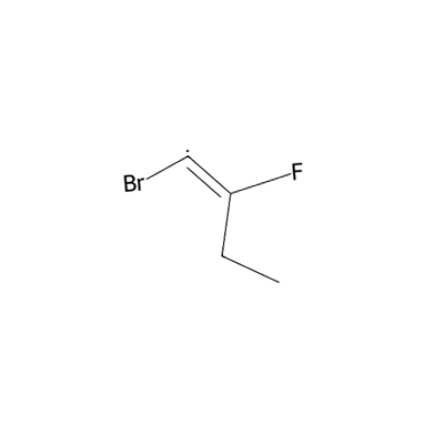 CC/C(F)=[C]\Br